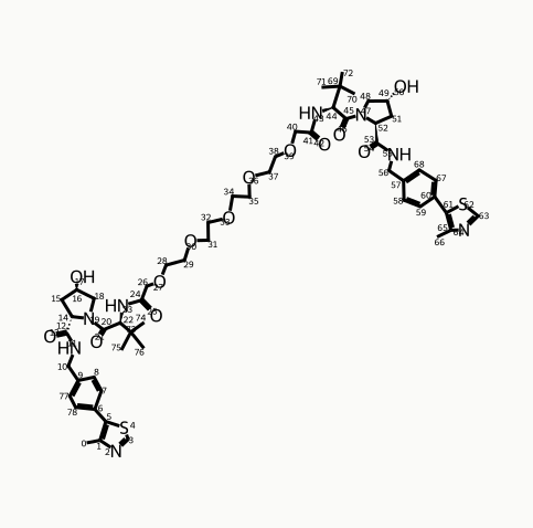 Cc1ncsc1-c1ccc(CNC(=O)[C@@H]2C[C@@H](O)CN2C(=O)[C@@H](NC(=O)COCCOCCOCCOCCOCC(=O)N[C@H](C(=O)N2C[C@H](O)C[C@H]2C(=O)NCc2ccc(-c3scnc3C)cc2)C(C)(C)C)C(C)(C)C)cc1